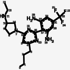 CCCCc1cc(N2CCC(NCC)C2)nc(-c2c(N)cc(C(F)(F)F)cc2N)n1